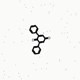 O=C1C=C(c2ccccc2)C(=O)C(c2ccccc2)=C1